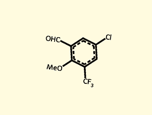 COc1c(C=O)cc(Cl)cc1C(F)(F)F